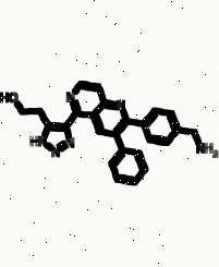 NCc1ccc(-c2nc3ccnc(-c4nn[nH]c4CCO)c3cc2-c2ccccc2)cc1